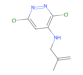 C=C(C)CNc1cc(Cl)nnc1Cl